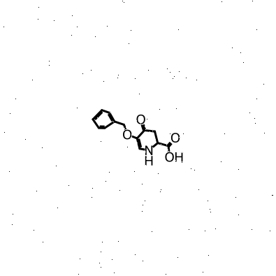 O=C1CC(C(=O)O)NC=C1OCc1ccccc1